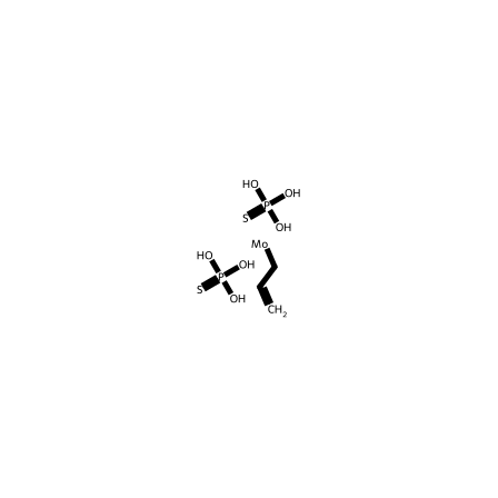 C=C[CH2][Mo].OP(O)(O)=S.OP(O)(O)=S